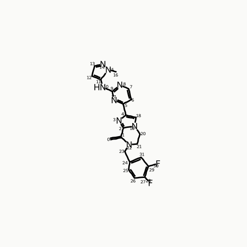 C=C1c2nc(-c3ccnc(Nc4ccnn4C)n3)cn2CCN1Cc1ccc(F)c(F)c1